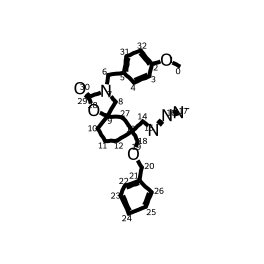 COc1ccc(CN2CC3(CCCC(CN=[N+]=[N-])(COCc4ccccc4)C3)OC2=O)cc1